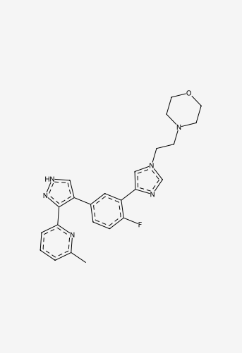 Cc1cccc(-c2n[nH]cc2-c2ccc(F)c(-c3cn(CCN4CCOCC4)cn3)c2)n1